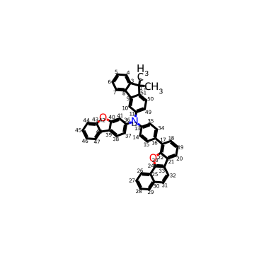 CC1(C)c2ccccc2-c2cc(N(c3ccc(-c4cccc5c4oc4c6ccccc6ccc54)cc3)c3ccc4c(c3)oc3ccccc34)ccc21